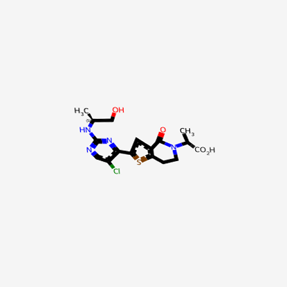 CC(C(=O)O)N1CCc2sc(-c3nc(N[C@@H](C)CO)ncc3Cl)cc2C1=O